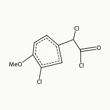 COc1ccc(C(Cl)C(=O)Cl)cc1Cl